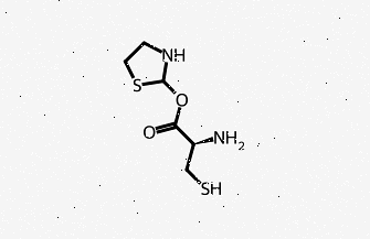 N[C@@H](CS)C(=O)OC1NCCS1